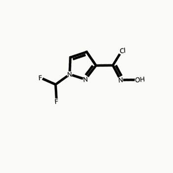 ON=C(Cl)c1ccn(C(F)F)n1